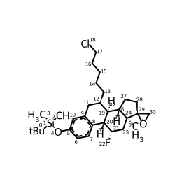 CC(C)(C)[Si](C)(C)Oc1ccc2c(c1)C[C@@H](CCCCCCl)[C@@H]1[C@@H]2[C@@H](F)C[C@@]2(C)[C@H]1CC[C@]21CO1